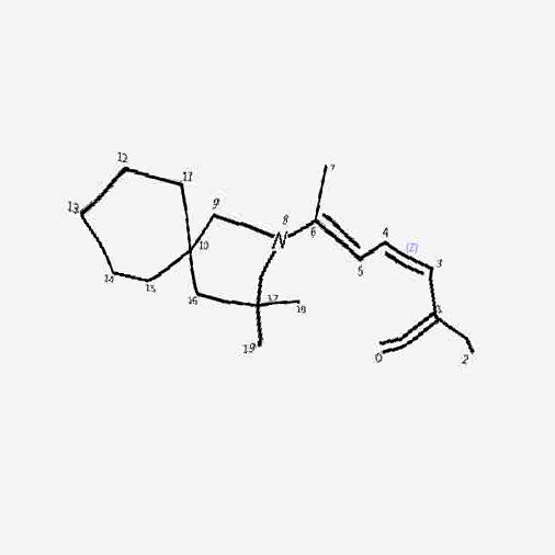 C=C(C)/C=C\C=C(C)N1CC2(CCCCC2)CC1(C)C